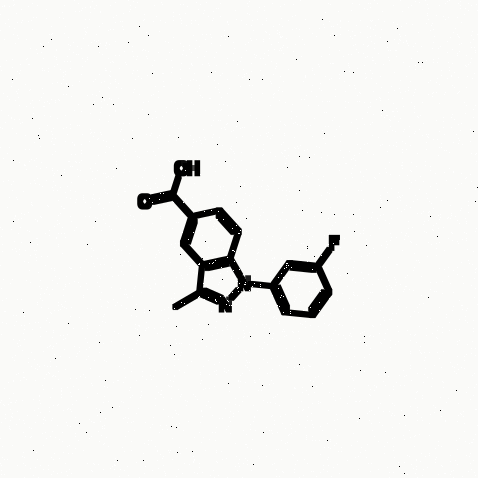 Cc1nn(-c2cccc(F)c2)c2ccc(C(=O)O)cc12